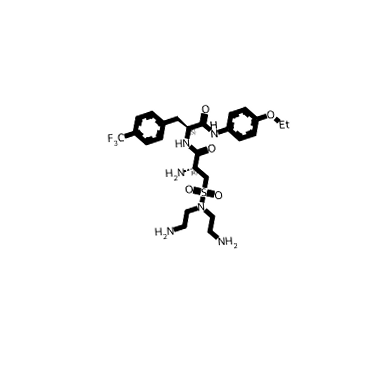 CCOc1ccc(NC(=O)[C@H](Cc2ccc(C(F)(F)F)cc2)NC(=O)[C@@H](N)CS(=O)(=O)N(CCN)CCN)cc1